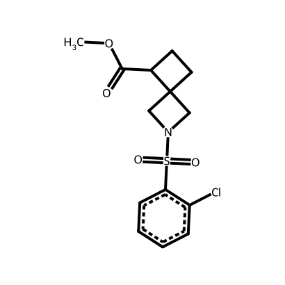 COC(=O)C1CCC12CN(S(=O)(=O)c1ccccc1Cl)C2